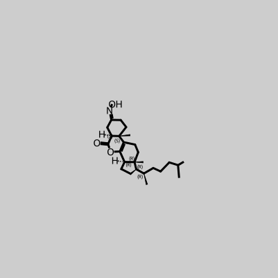 CC(C)CCC[C@@H](C)[C@H]1CC[C@H]2C3=C(CC[C@]12C)[C@@]1(C)CCC(=NO)C[C@@H]1C(=O)O3